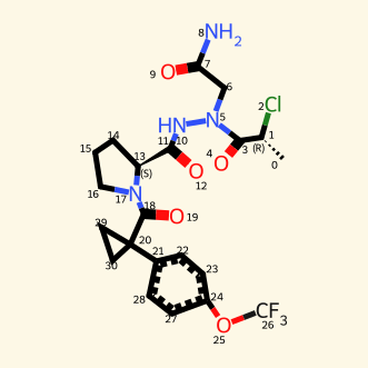 C[C@@H](Cl)C(=O)N(CC(N)=O)NC(=O)[C@@H]1CCCN1C(=O)C1(c2ccc(OC(F)(F)F)cc2)CC1